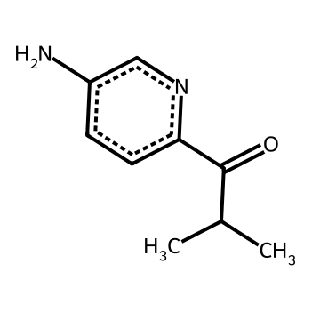 CC(C)C(=O)c1ccc(N)cn1